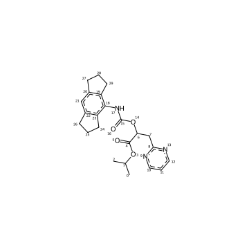 CC(C)OC(=O)C(Cc1ncccn1)OC(=O)Nc1c2c(cc3c1CCC3)CCC2